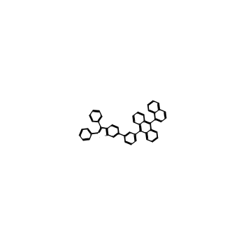 c1ccc(-c2oc3cc(-c4cccc(-c5c6ccccc6c(-c6cccc7ccccc67)c6ccccc56)c4)ccc3c2-c2ccccc2)cc1